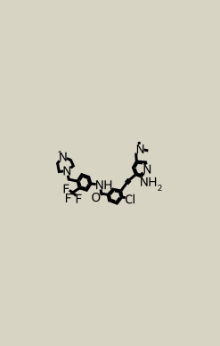 CN(C)Cc1cnc(N)c(C#Cc2cc(C(=O)Nc3ccc(CN4CCN(C)CC4)c(C(F)(F)F)c3)ccc2Cl)c1